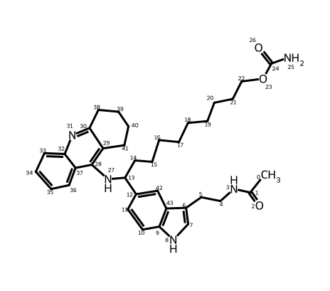 CC(=O)NCCc1c[nH]c2ccc(C(CCCCCCCCCOC(N)=O)Nc3c4c(nc5ccccc35)CCCC4)cc12